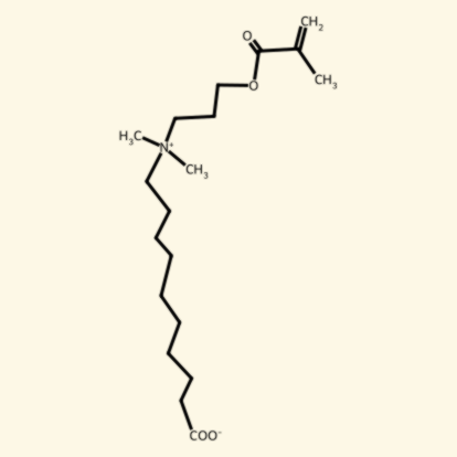 C=C(C)C(=O)OCCC[N+](C)(C)CCCCCCCCCC(=O)[O-]